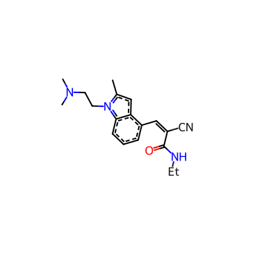 CCNC(=O)C(C#N)=Cc1cccc2c1cc(C)n2CCN(C)C